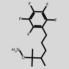 CC(CCCc1c(F)c(F)c(F)c(F)c1F)C(C)(C)O[SiH3]